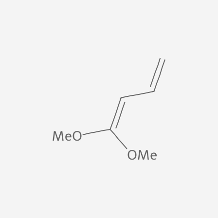 C=CC=C(OC)OC